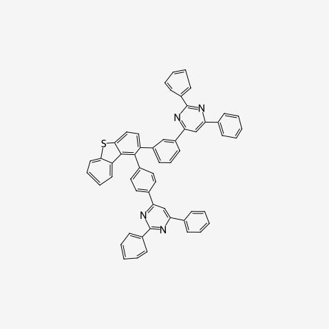 c1ccc(-c2cc(-c3ccc(-c4c(-c5cccc(-c6cc(-c7ccccc7)nc(-c7ccccc7)n6)c5)ccc5sc6ccccc6c45)cc3)nc(-c3ccccc3)n2)cc1